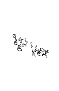 CCO[Si](C)(CCCC1=CC2CC1C1C(=O)OC(=O)C21)OCC